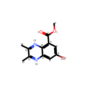 COC(=O)c1cc(Br)cc2nc(C)c(C)nc12